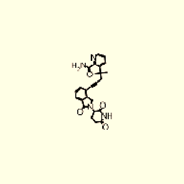 CC(C)(CC#Cc1cccc2c1CN(C1CCC(=O)NC1=O)C2=O)c1cccnc1C(N)=O